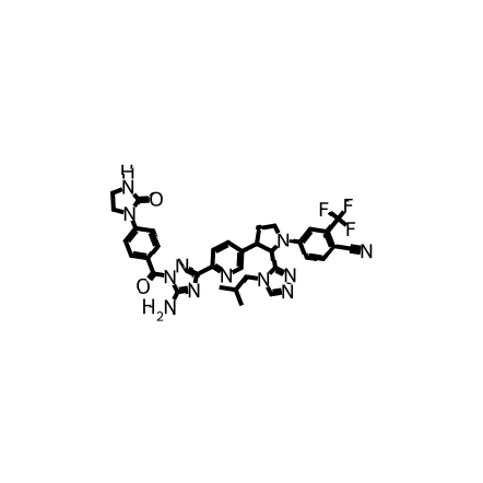 CC(C)Cn1cnnc1C1C(c2ccc(-c3nc(N)n(C(=O)c4ccc(N5CCNC5=O)cc4)n3)nc2)CCN1c1ccc(C#N)c(C(F)(F)F)c1